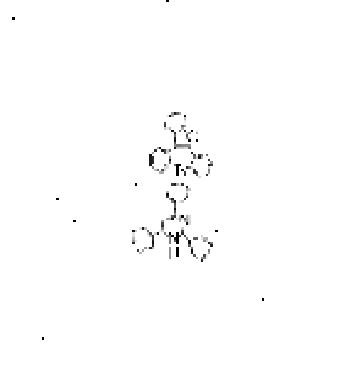 C1=C(c2ccc(N3c4ccccc4-c4oc5ccccc5c4-c4ccccc43)cc2)N=C(c2ccccc2)NC1c1ccccc1